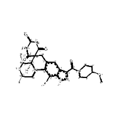 COC1CCN(C(=O)c2noc3c(F)c4c(cc23)CC2(C(=O)NC(=O)NC2=O)[C@@H]2[C@@H](C)O[C@@H](C)CN42)CC1